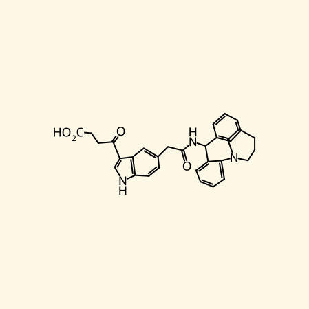 O=C(O)CCC(=O)c1c[nH]c2ccc(CC(=O)NC(c3ccccc3)c3ccccc3N3CCCCC3)cc12